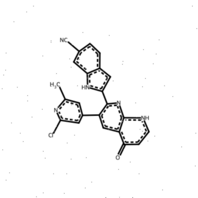 Cc1cc(-c2cc3c(=O)cc[nH]c3nc2-c2cc3ccc(C#N)cc3[nH]2)cc(Cl)n1